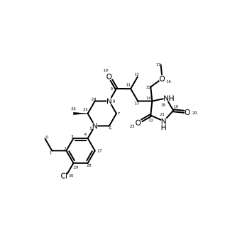 CCc1cc(N2CCN(C(=O)C(C)CC3(COC)NC(=O)NC3=O)C[C@@H]2C)ccc1Cl